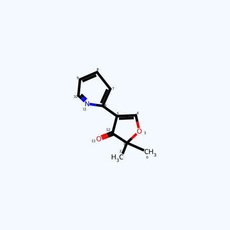 CC1(C)OC=C(c2ccccn2)C1=O